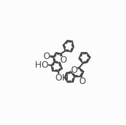 O=c1cc(-c2ccccc2)oc2cc(O)cc(O)c12.O=c1cc(-c2ccccc2)oc2ccccc12